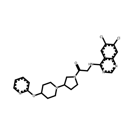 O=C(CNc1ncnc2cc(Cl)c(Cl)cc12)N1CCC(N2CCC(Oc3ccccn3)CC2)C1